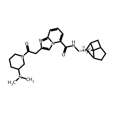 CN(C)C1CCCN(C(=O)Cc2cn3c(C(=O)NC[C@H]4C5CCC6CC4C65C)cccc3n2)C1